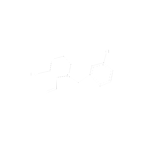 O=CC1C(O)OCCN1Cc1cccc(Cl)c1